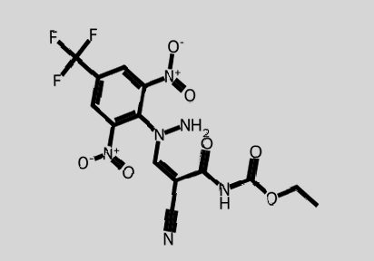 CCOC(=O)NC(=O)/C(C#N)=C\N(N)c1c([N+](=O)[O-])cc(C(F)(F)F)cc1[N+](=O)[O-]